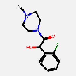 CC(C)N1CCN(C(=O)C(O)c2ccccc2Cl)CC1